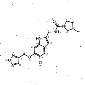 CC1CCN(C(=O)NCc2cc3cc(Cl)c(OCc4ccon4)cc3[nH]2)C1